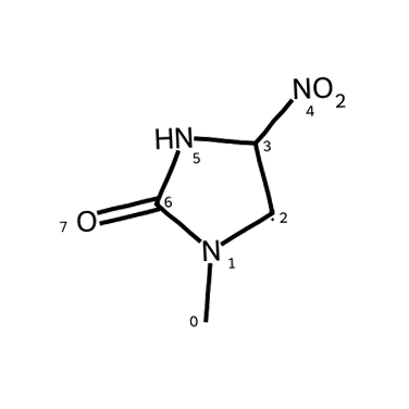 CN1[CH]C([N+](=O)[O-])NC1=O